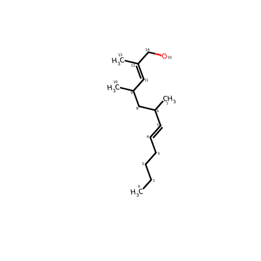 CCCC/C=C/C(C)CC(C)/C=C(\C)C[O]